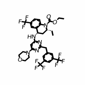 CCOC(=O)N1c2ccc(C(F)(F)F)cc2[C@@H](Nc2cc(N3CCOCC3)nc(Cc3cc(C(F)(F)F)cc(C(F)(F)F)c3)n2)C[C@H]1CC